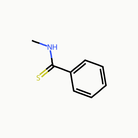 CNC(=S)c1ccccc1